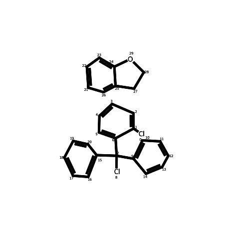 Clc1ccccc1C(Cl)(c1ccccc1)c1ccccc1.c1ccc2c(c1)CCO2